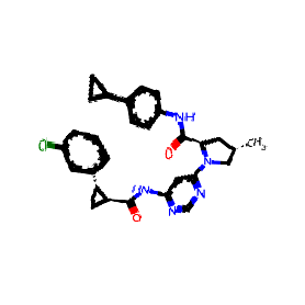 C[C@H]1C[C@H](C(=O)Nc2ccc(C3CC3)cc2)N(c2cc(NC(=O)[C@H]3C[C@@H]3c3cccc(Cl)c3)ncn2)C1